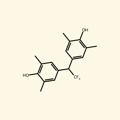 Cc1cc(C(c2cc(C)c(O)c(C)c2)C(F)(F)F)cc(C)c1O